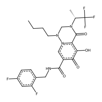 CCCCN1CN([C@H](C)C(F)(F)F)C(=O)c2c(O)c(=O)c(C(=O)NCc3ccc(F)cc3F)cn21